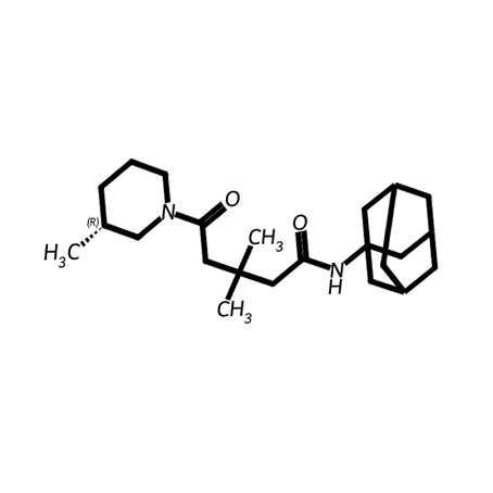 C[C@@H]1CCCN(C(=O)CC(C)(C)CC(=O)NC23CC4CC(CC(C4)C2)C3)C1